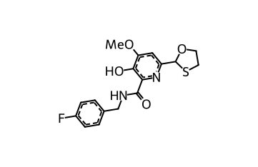 COc1cc(C2OCCS2)nc(C(=O)NCc2ccc(F)cc2)c1O